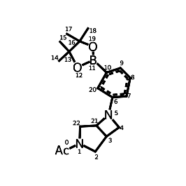 CC(=O)N1CC2CN(c3cccc(B4OC(C)(C)C(C)(C)O4)c3)C2C1